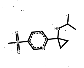 CC(C)NC1(c2ccc(S(C)(=O)=O)cn2)CC1